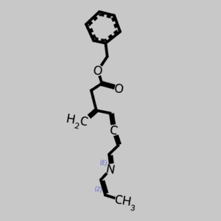 C=C(C=C=C/C=N/C=C\C)CC(=O)OCc1ccccc1